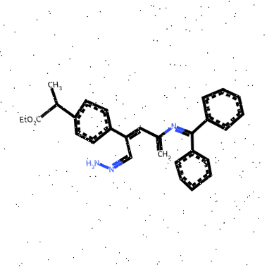 C=C(/C=C(\C=N/N)c1ccc(C(C)C(=O)OCC)cc1)N=C(c1ccccc1)c1ccccc1